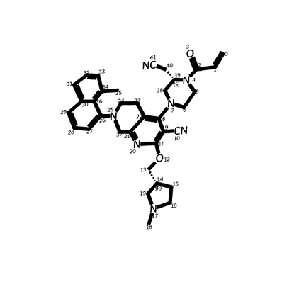 C=CC(=O)N1CCN(c2c(C#N)c(OC[C@@H]3CCN(C)C3)nc3c2CCN(c2cccc4cccc(C)c24)C3)C[C@@H]1CC#N